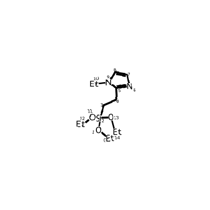 CCO[Si](CCc1nccn1CC)(OCC)OCC